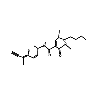 C#C/C(C)=C(Br)/C=C\C(C)NC(=O)C1=CC(C)N(CCCC)N(C)C1=O